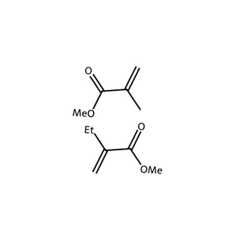 C=C(C)C(=O)OC.C=C(CC)C(=O)OC